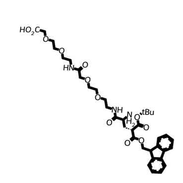 CC(C)(C)OC(=O)[C@@H](CC(N)C(=O)NCCOCCOCC(=O)NCCOCCOCC(=O)O)C(=O)OCC1c2ccccc2-c2ccccc21